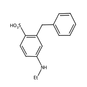 CCNc1ccc(S(=O)(=O)O)c(Cc2ccccc2)c1